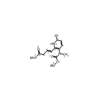 CCC1C=CC(N(C)C(=O)OC(C)(C)C)=C(/C=C/CC(=O)OC)N1